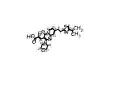 CC(C)c1csc(CCc2ccn3c(=O)c(C=C(F)C(=O)O)c(N4CCOCC4)nc3c2)n1